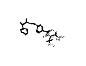 CC(C#Cc1ccc(C(=O)N[C@H](C(=O)NO)C(C)(C)N)cc1)C(C)c1ccccc1